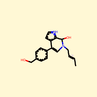 C/C=C/CN1C=C(c2ccc(CO)cc2)c2cc[nH]c2C1O